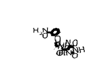 C[C@H](COc1cccc(C(N)=O)c1)NC(=O)c1[nH]c(=O)[nH]c(=O)c1N